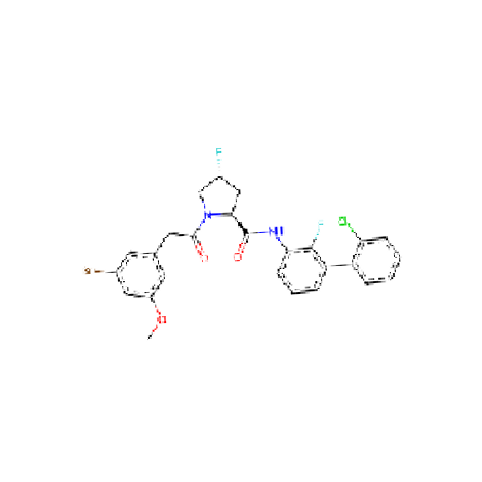 COc1cc(Br)cc(CC(=O)N2C[C@H](F)C[C@H]2C(=O)Nc2cccc(-c3ccccc3Cl)c2F)c1